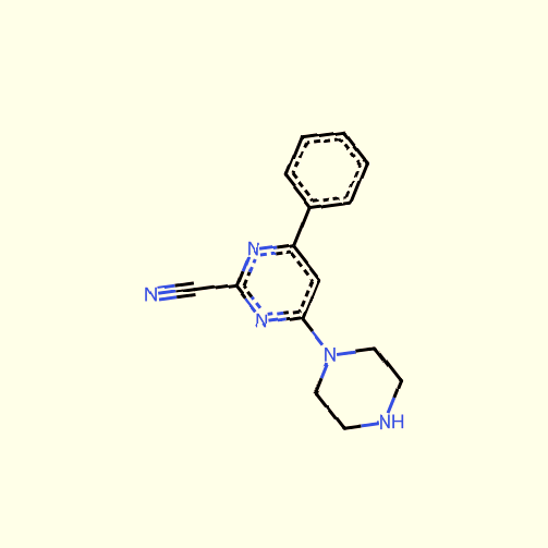 N#Cc1nc(-c2ccccc2)cc(N2CCNCC2)n1